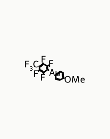 COc1cc[c]([Au][c]2c(F)c(F)c(C(F)(F)F)c(F)c2F)cc1